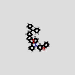 c1ccc(C(c2ccccc2)c2ccc3c(c2)-c2ccc(-c4ccccc4N(c4ccccc4)c4ccc5oc6ccccc6c5c4)cc2C3)cc1